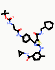 Cc1ccc(C(=O)NC2CC2)cc1Nc1nc(-c2ccc(NC(=O)CCNC(=O)OC(C)(C)C)cc2)c(C(=O)NCC2C=CC=CC2)s1